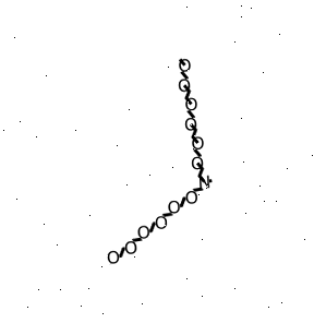 COCCOCCOCCOCCOCCOCCN(C)CCOCCOCCOCCOCCOCCOC